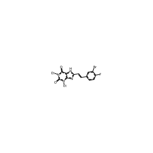 CCn1c(=O)c2[nH]c(/C=C/c3ccc(F)c(Br)c3)nc2n(CC)c1=O